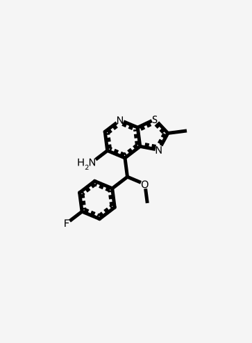 COC(c1ccc(F)cc1)c1c(N)cnc2sc(C)nc12